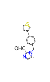 O=Cc1nc[c]n1Cc1ccc(-c2ccsc2)cc1